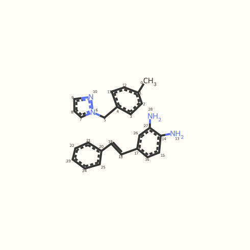 Cc1ccc(Cn2cccn2)cc1.Nc1ccc(C=Cc2ccccc2)cc1N